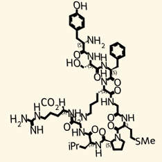 CSCC[C@H](NC(=O)CNC(=O)[C@H](CCCCN)NC(=O)[C@H](Cc1ccccc1)NC(=O)[C@H](CO)NC(=O)[C@@H](N)Cc1ccc(O)cc1)C(=O)N1CCC[C@H]1C(=O)N[C@@H](CC(C)C)C(=O)NCC(=O)N[C@@H](CCCNC(=N)N)C(=O)O